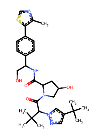 Cc1ncsc1-c1ccc(C(CO)NC(=O)C2CC(O)CN2C(=O)C(n2cc(C(C)(C)C)cn2)C(C)(C)C)cc1